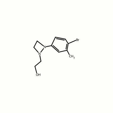 Cc1cc(N2CCN2CCO)ccc1Br